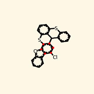 Clc1cccc(C23c4ccccc4Sc4cccc(c42)Sc2c3ccc3c2oc2ccccc23)c1